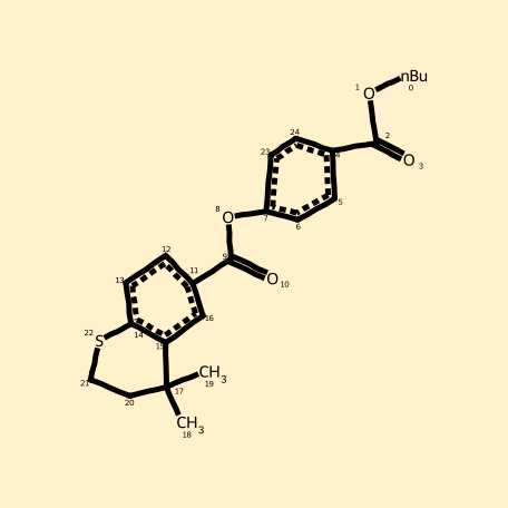 CCCCOC(=O)c1ccc(OC(=O)c2ccc3c(c2)C(C)(C)CCS3)cc1